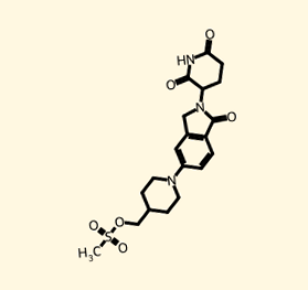 CS(=O)(=O)OCC1CCN(c2ccc3c(c2)CN(C2CCC(=O)NC2=O)C3=O)CC1